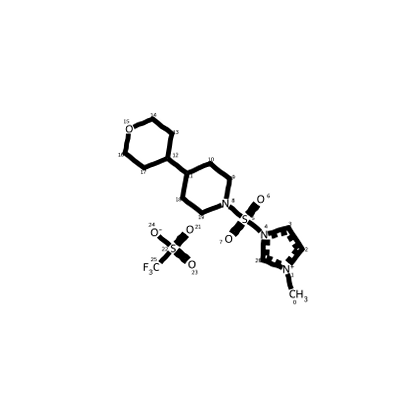 C[n+]1ccn(S(=O)(=O)N2CCC(C3CCOCC3)CC2)c1.O=S(=O)([O-])C(F)(F)F